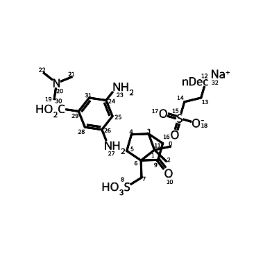 CC1(C)C2CCC1(CS(=O)(=O)O)C(=O)C2.CCCCCCCCCCCCS(=O)(=O)[O-].CN(C)C.Nc1cc(N)cc(C(=O)O)c1.[Na+]